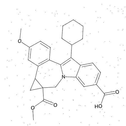 COC(=O)C12CC1c1cc(OC)ccc1-c1c(C3CCCCC3)c3ccc(C(=O)O)cc3n1C2